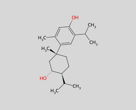 Cc1cc(O)c(C(C)C)cc1[C@]1(C)CC[C@@H](C(C)C)[C@H](O)C1